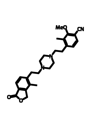 COc1c(C#N)ccc(CCN2CCN(CCc3ccc4c(c3C)COC4=O)CC2)c1C